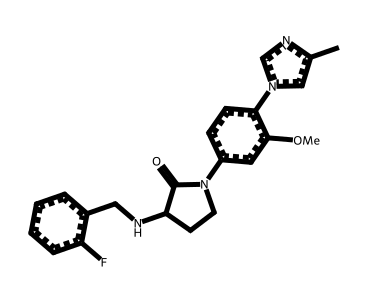 COc1cc(N2CCC(NCc3ccccc3F)C2=O)ccc1-n1cnc(C)c1